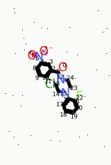 O=C(c1cc([N+](=O)[O-])ccc1Cl)N1CCN(c2ccccc2F)CC1